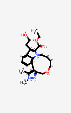 CCOC(=O)c1c(CCO)c2cccc3c2n1CCCCOCc1nn(C)c(C)c1-3